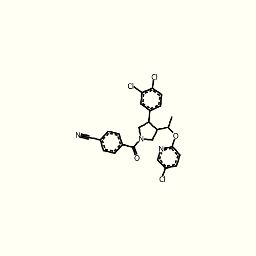 CC(Oc1ccc(Cl)cn1)C1CN(C(=O)c2ccc(C#N)cc2)CC1c1ccc(Cl)c(Cl)c1